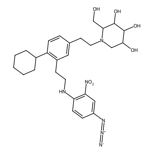 [N-]=[N+]=Nc1ccc(NCCc2cc(CCN3CC(O)C(O)C(O)C3CO)ccc2C2CCCCC2)c([N+](=O)[O-])c1